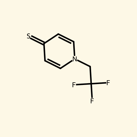 FC(F)(F)Cn1ccc(=S)cc1